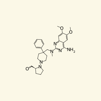 COc1cc2nc(N(C)CC3(c4ccccc4)CCN(N4CCC[C@H]4C=O)CC3)nc(N)c2cc1OC